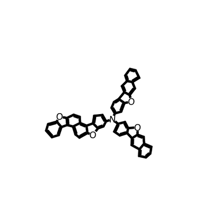 c1ccc2cc3c(cc2c1)oc1cc(N(c2ccc4c(c2)oc2cc5ccccc5cc24)c2ccc4c(c2)oc2ccc5c(ccc6oc7ccccc7c65)c24)ccc13